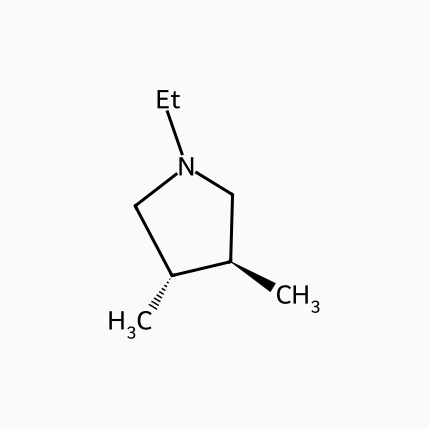 CCN1C[C@@H](C)[C@H](C)C1